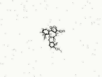 Cc1ccc(CN2C(=O)CC(C(=O)O)=C(O)c3cccc(F)c32)cc1F